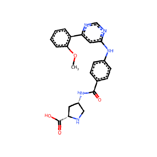 COc1ccccc1-c1cc(Nc2ccc(C(=O)N[C@@H]3CN[C@H](C(=O)O)C3)cc2)ncn1